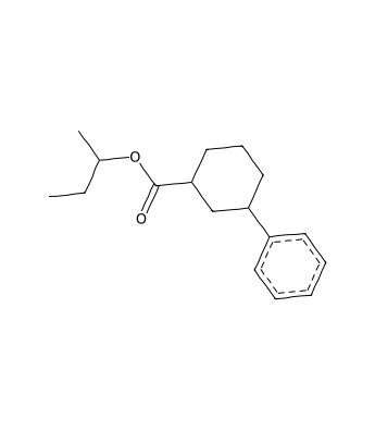 CCC(C)OC(=O)C1CCCC(c2ccccc2)C1